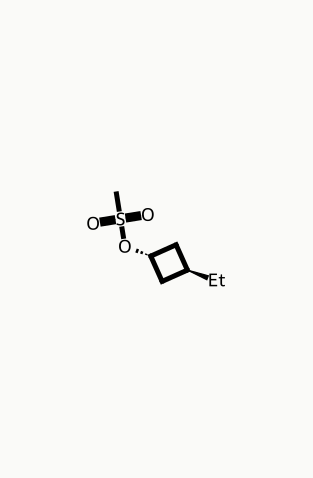 CC[C@H]1C[C@H](OS(C)(=O)=O)C1